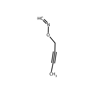 [CH]=NOCC#CC